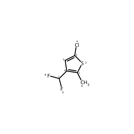 Cc1sc(Cl)cc1C(F)F